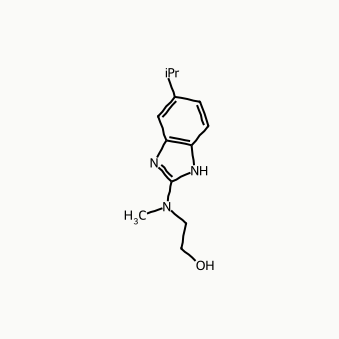 CC(C)c1ccc2[nH]c(N(C)CCO)nc2c1